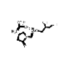 C=C(C)C(=O)O.C=CN1CCCC1=O.OCC(O)CO